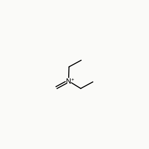 C=[N+](CC)CC